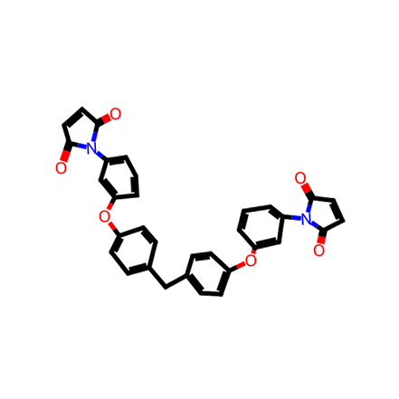 O=C1C=CC(=O)N1c1cccc(Oc2ccc(Cc3ccc(Oc4cccc(N5C(=O)C=CC5=O)c4)cc3)cc2)c1